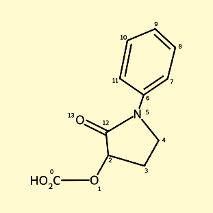 O=C(O)OC1CCN(c2ccccc2)C1=O